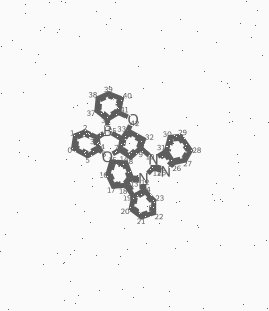 c1ccc2c(c1)Oc1cc(-n3c(-n4c5ccccc5c5ccccc54)nc4ccccc43)cc3c1B2c1ccccc1O3